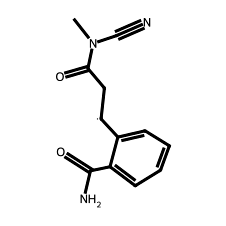 CN(C#N)C(=O)C[CH]c1ccccc1C(N)=O